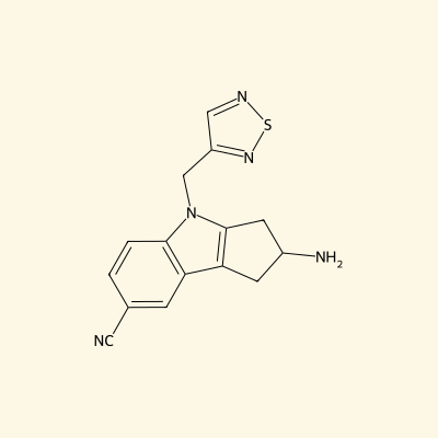 N#Cc1ccc2c(c1)c1c(n2Cc2cnsn2)CC(N)C1